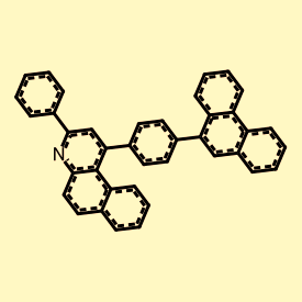 c1ccc(-c2cc(-c3ccc(-c4cc5ccccc5c5ccccc45)cc3)c3c(ccc4ccccc43)n2)cc1